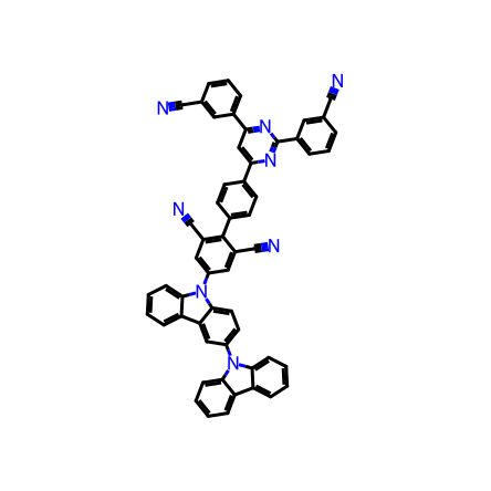 N#Cc1cccc(-c2cc(-c3ccc(-c4c(C#N)cc(-n5c6ccccc6c6cc(-n7c8ccccc8c8ccccc87)ccc65)cc4C#N)cc3)nc(-c3cccc(C#N)c3)n2)c1